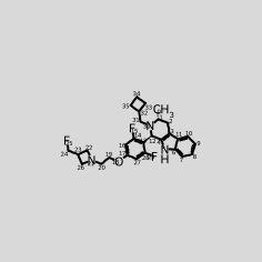 C[C@@H]1Cc2c([nH]c3ccccc23)[C@@H](c2c(F)cc(OCCN3CC(CF)C3)cc2F)N1CC1CCC1